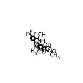 C#C[C@@H](Nc1ncnc2c1cc(C1(O)CCN(C(C)=O)CC1)c(=O)n2C)c1cccc(C(F)F)c1F